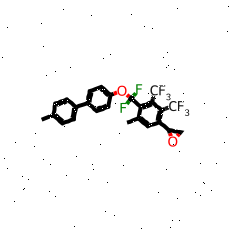 Cc1ccc(-c2ccc(OC(F)(F)c3c(C)cc(C4CO4)c(C(F)(F)F)c3C(F)(F)F)cc2)cc1